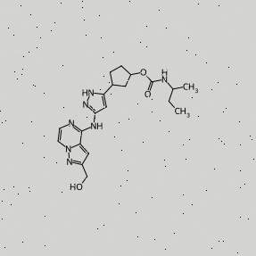 CCC(C)NC(=O)OC1CCC(c2cc(Nc3nccn4nc(CO)cc34)n[nH]2)C1